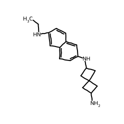 CCNc1ccc2cc(NC3CC4(CC(N)C4)C3)ccc2c1